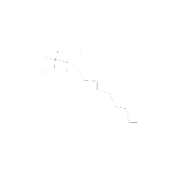 CC(C)(O)C(C)(C)CCCCCCCCO